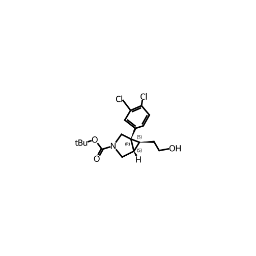 CC(C)(C)OC(=O)N1C[C@H]2[C@H](CCO)[C@@]2(c2ccc(Cl)c(Cl)c2)C1